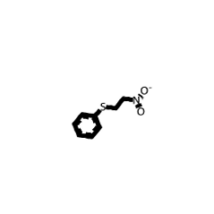 O=[N+]([O-])CCSc1ccccc1